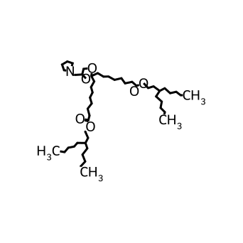 CCCCCC(CCCCC)CCOC(=O)CCCCCCCC1(CCCCCCCC(=O)OCCC(CCCCC)CCCCC)OCC(CN2CCCC2)O1